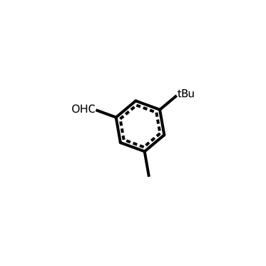 Cc1cc(C=O)cc(C(C)(C)C)c1